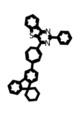 C1=CC(c2ccc3c(c2)-c2ccccc2C32CCCCC2)=CC=C(c2nc(-c3ccccc3)nc3c2sc2ccccc23)C1